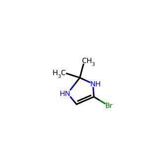 CC1(C)NC=C(Br)N1